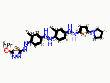 CCCOc1nnc(/N=N/c2ccc(NNc3ccc(NNc4ccc(N5CCCC5)s4)cc3C)cc2C)s1